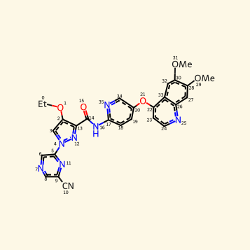 CCOc1cn(-c2cncc(C#N)n2)nc1C(=O)Nc1ccc(Oc2ccnc3cc(OC)c(OC)cc23)cn1